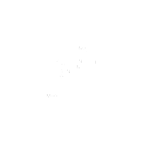 COc1ccc(CN(c2nn(CC(F)F)c3c([N+](=O)[O-])ccc(Cl)c23)S(C)(=O)=O)cc1